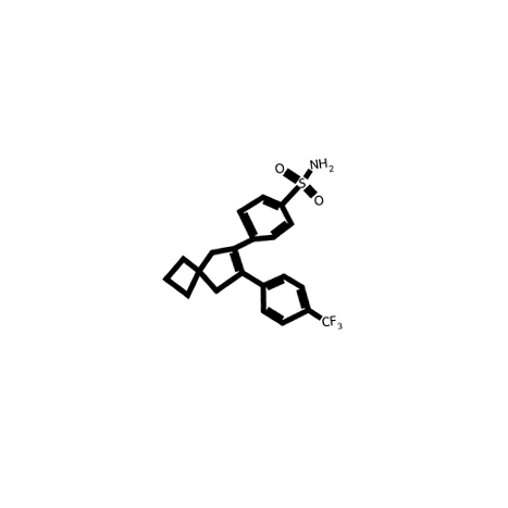 NS(=O)(=O)c1ccc(C2=C(c3ccc(C(F)(F)F)cc3)CC3(CCC3)C2)cc1